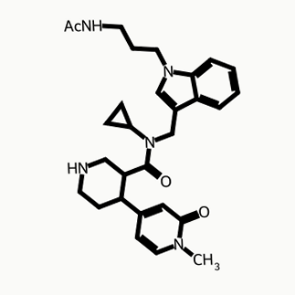 CC(=O)NCCCn1cc(CN(C(=O)C2CNCCC2c2ccn(C)c(=O)c2)C2CC2)c2ccccc21